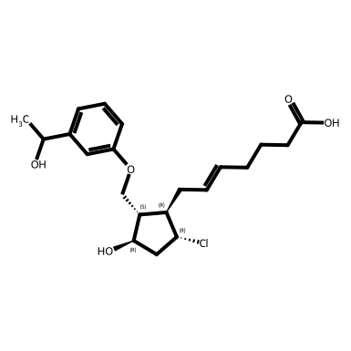 CC(O)c1cccc(OC[C@@H]2[C@@H](CC=CCCCC(=O)O)[C@H](Cl)C[C@H]2O)c1